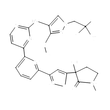 COc1nn(CC(C)(C)O)cc1Nc1nccc(-c2cccc(-c3cc(C4(O)CCN(C)C4=O)on3)n2)n1